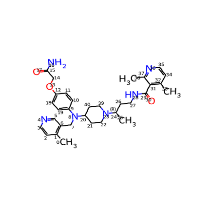 Cc1ccncc1CN(c1ccc(OCC(N)=O)cc1)C1CCN([C@H](C)CCNC(=O)c2c(C)ccnc2C)CC1